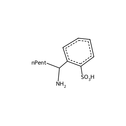 CCCCCC(N)c1ccccc1S(=O)(=O)O